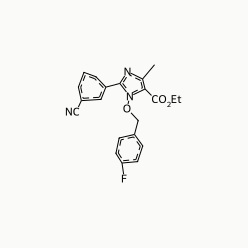 CCOC(=O)c1c(C)nc(-c2cccc(C#N)c2)n1OCc1ccc(F)cc1